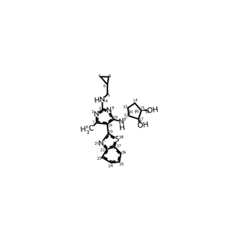 Cc1nc(NCC2CC2)nc(N[C@@H]2CC[C@@H](O)C2O)c1-c1nc2ccccc2s1